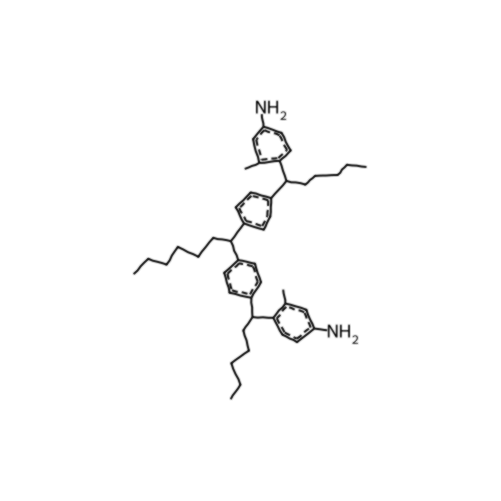 CCCCCCC(c1ccc(C(CCCCC)c2ccc(N)cc2C)cc1)c1ccc(C(CCCCC)c2ccc(N)cc2C)cc1